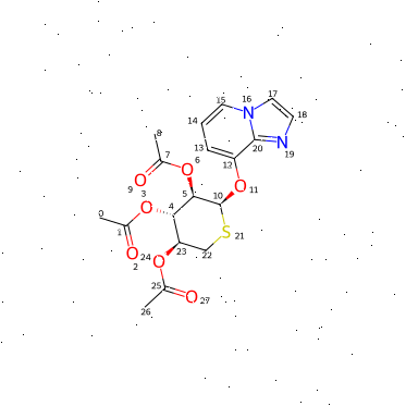 CC(=O)O[C@@H]1[C@@H](OC(C)=O)[C@@H](Oc2cccn3ccnc23)SC[C@H]1OC(C)=O